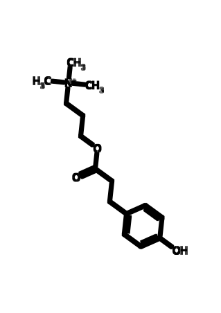 C[N+](C)(C)CCCOC(=O)CCc1ccc(O)cc1